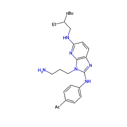 CCCCC(CC)CNc1ccc2nc(Nc3ccc(C(C)=O)cc3)n(CCCN)c2n1